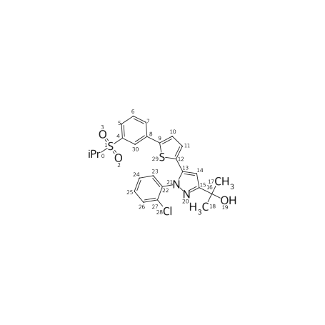 CC(C)S(=O)(=O)c1cccc(-c2ccc(-c3cc(C(C)(C)O)nn3-c3ccccc3Cl)s2)c1